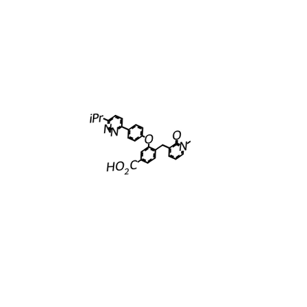 CC(C)c1ccc(-c2ccc(Oc3cc(C(=O)O)ccc3Cc3cccn(C)c3=O)cc2)nn1